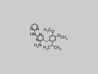 COc1cc(Cc2cnc(Nc3ncccn3)nc2N)c(C(C)C)cc1OC